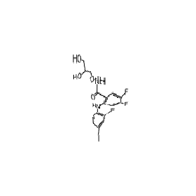 O=C(NOCC(O)CO)c1cc(F)c(F)cc1Nc1ccc(I)cc1F